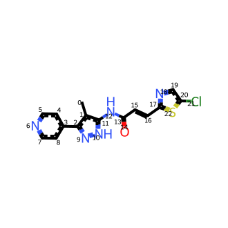 Cc1c(-c2ccncc2)n[nH]c1NC(=O)C=Cc1ncc(Cl)s1